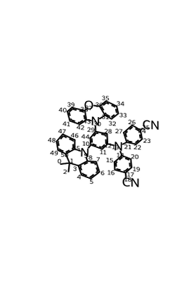 CC1(C)c2ccccc2N(c2cc(N(c3ccc(C#N)cc3)c3ccc(C#N)cc3)cc(N3c4ccccc4Oc4ccccc43)c2)c2ccccc21